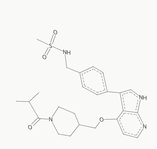 CC(C)C(=O)N1CCC(COc2ccnc3[nH]cc(-c4ccc(CNS(C)(=O)=O)cc4)c23)CC1